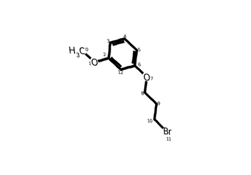 COc1cccc(OCCCBr)c1